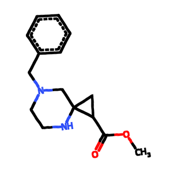 COC(=O)C1CC12CN(Cc1ccccc1)CCN2